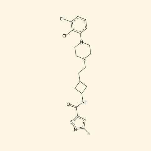 Cc1cc(C(=O)NC2CC(CCN3CCN(c4cccc(Cl)c4Cl)CC3)C2)sn1